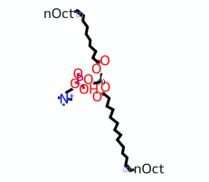 CCCCCCCC/C=C\CCCCCCCCCCCC(=O)O[C@H](COC(=O)CCCCCCC/C=C\CCCCCCCC)COP(=O)(O)OCC[N+](C)(C)C